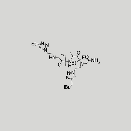 C=CC(C)(NC(C)C(=O)C(CC)(CC)N(CCn1cc(CC(C)CC)nn1)CC(N)=O)C(=O)CNCCn1cc(CC)nn1